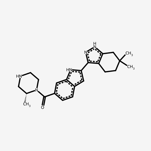 C[C@@H]1CNCCN1C(=O)c1ccc2cc(-c3n[nH]c4c3CCC(C)(C)C4)[nH]c2c1